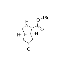 CC(C)(C)OC(=O)C1NC[C@@H]2CC(=O)C[C@H]12